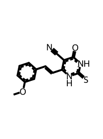 COc1cccc(C=Cc2[nH]c(=S)[nH]c(=O)c2C#N)c1